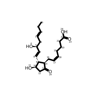 CC/C=C/C[C@H](O)/C=C/[C@H]1[C@H](O)CC(=O)[C@@H]1C/C=C\CCCC(=O)O